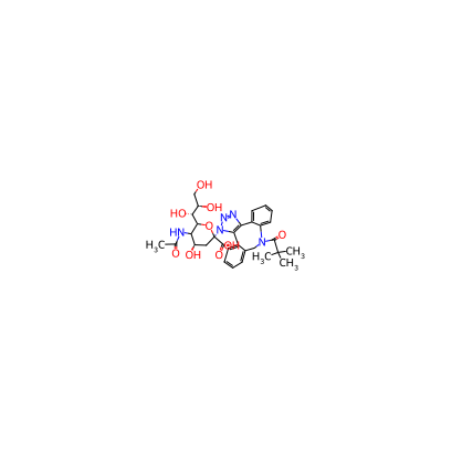 CC(=O)NC1C([C@H](O)[C@H](O)CO)O[C@](C(=O)O)(n2nnc3c2-c2ccccc2CN(C(=O)C(C)(C)C)c2ccccc2-3)C[C@H]1O